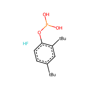 CC(C)(C)c1ccc(OP(O)O)c(C(C)(C)C)c1.F